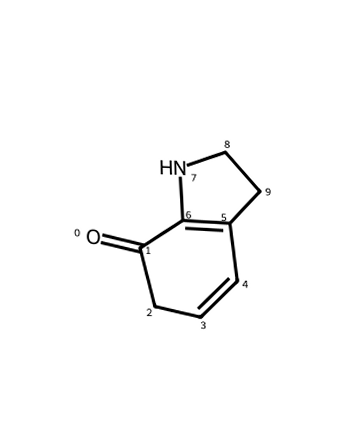 O=C1CC=CC2=C1NCC2